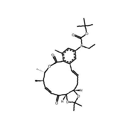 CCN(C(=O)OC(C)(C)C)c1cc(C)c2c(c1)/C=C/C[C@@H]1OC(C)(C)O[C@@H]1C(=O)/C=C\[C@@H](C)[C@H](C)OC2=O